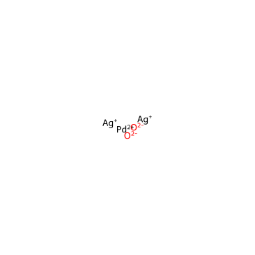 [Ag+].[Ag+].[O-2].[O-2].[Pd+2]